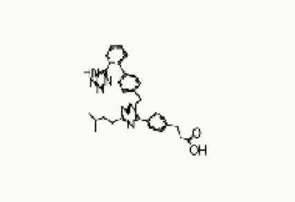 CC(C)CCc1nc(-c2ccc(CCC(=O)O)cc2)n(Cc2ccc(-c3ccccc3-c3nnn[nH]3)cc2)n1